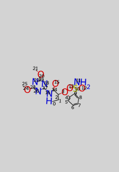 CCC(Oc1ccccc1S(N)(=O)=O)C(=O)Nc1nc(OC)nc(OC)n1